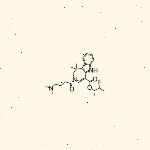 CC(F)C(C)OC(=O)C1=CN(C(=O)CCCN(C)C)CC(C)(C)c2c1[nH]c1ccccc21